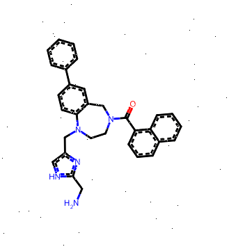 NCc1nc(CN2CCN(C(=O)c3cccc4ccccc34)Cc3cc(-c4ccccc4)ccc32)c[nH]1